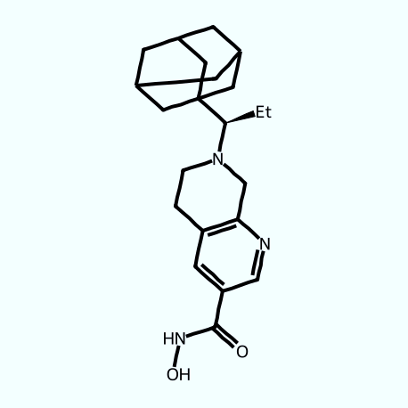 CC[C@@H](N1CCc2cc(C(=O)NO)cnc2C1)C12CC3CC(CC(C3)C1)C2